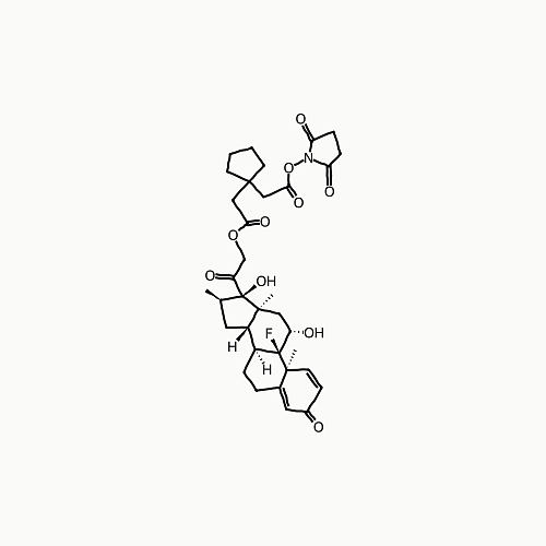 C[C@@H]1C[C@H]2[C@@H]3CCC4=CC(=O)C=C[C@]4(C)[C@@]3(F)[C@@H](O)C[C@]2(C)[C@@]1(O)C(=O)COC(=O)CC1(CC(=O)ON2C(=O)CCC2=O)CCCC1